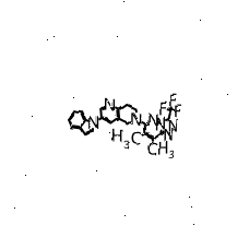 Cc1c(N2CCc3ncc(-n4ccc5ccccc54)cc3C2)nn2c(C(F)(F)F)nnc2c1C